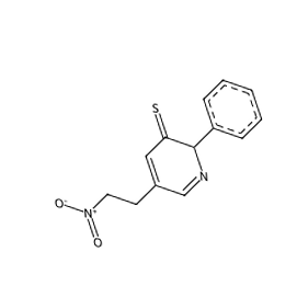 O=[N+]([O-])CCC1=CC(=S)C(c2ccccc2)N=C1